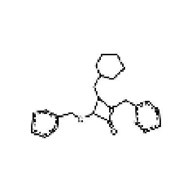 O=C1C(OCc2ccccc2)C(CC2CCCCC2)N1Cc1ccccc1